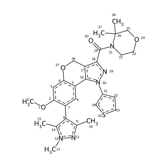 COc1cc2c(cc1-c1c(C)nn(C)c1C)-c1c(c(C(=O)N3CCOCC3(C)C)nn1-c1ccsc1)CO2